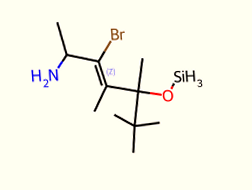 C/C(=C(/Br)C(C)N)C(C)(O[SiH3])C(C)(C)C